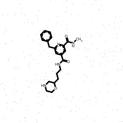 CNC(=O)c1cc(C(=O)NCCCC2CNCCO2)cc(Cc2ccccc2)n1